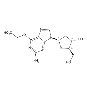 Nc1nc(OCC(=O)O)c2ncn([C@H]3C[C@H](O)[C@@H](CO)O3)c2n1